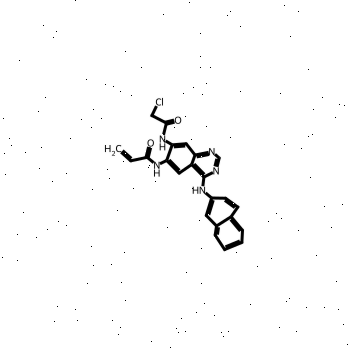 C=CC(=O)Nc1cc2c(Nc3ccc4ccccc4c3)ncnc2cc1NC(=O)CCl